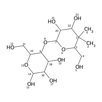 CC1(C)C(CO)OC(OC2C(CO)OC(O)C(O)C2O)C(O)C1O